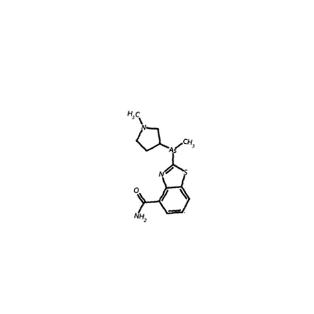 CN1CCC([As](C)c2nc3c(C(N)=O)c[c]cc3s2)C1